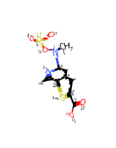 CN(O[SH](=O)=O)c1cc2cc(C(=O)O)sc2cn1